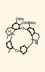 COc1cc2c3cc1Oc1c(OC)c(OC)cc4c1[C@@H](Cc1ccc(C)c(c1)Oc1ccc(cc1)C[C@@H]3N(C)CC2)N(C)CC4